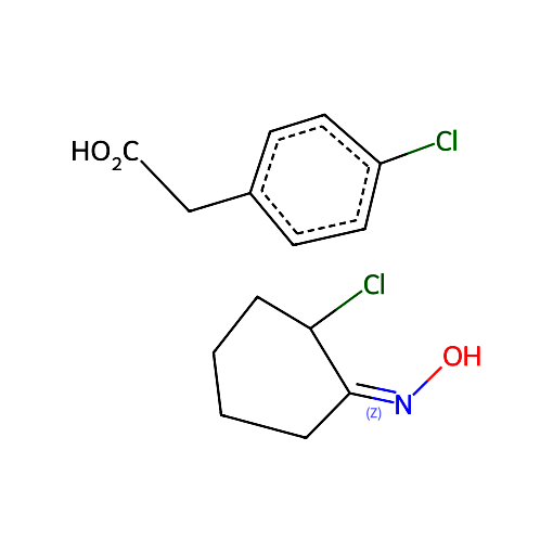 O/N=C1/CCCCC1Cl.O=C(O)Cc1ccc(Cl)cc1